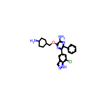 Nc1nc(-c2ccccc2)c(-c2cc(Cl)c3[nH]ncc3c2)nc1OCC1CCC(N)CC1